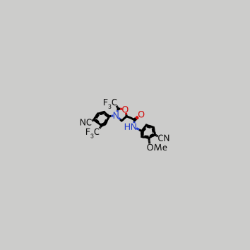 COc1cc(NC(=O)C2CN(c3ccc(C#N)c(C(F)(F)F)c3)C(C(F)(F)F)O2)ccc1C#N